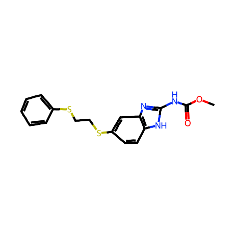 COC(=O)Nc1nc2cc(SCCSc3ccccc3)ccc2[nH]1